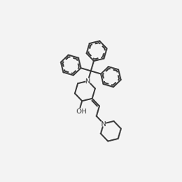 OC1CCN(C(c2ccccc2)(c2ccccc2)c2ccccc2)CC1=CCN1CCCCC1